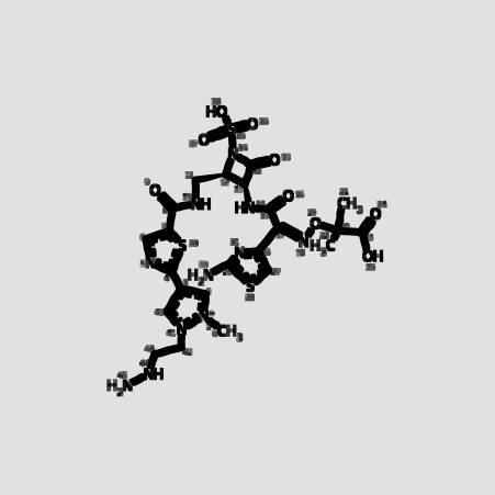 C[n+]1cc(-c2ncc(C(=O)NC[C@@H]3[C@H](NC(=O)/C(=N\OC(C)(C)C(=O)O)c4csc(N)n4)C(=O)N3S(=O)(=O)O)s2)cn1CCNN